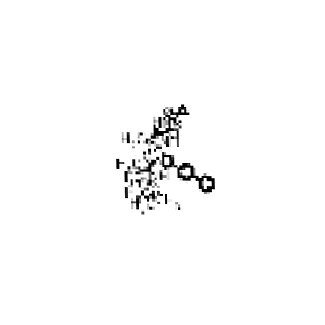 C=C[C@@H]1C[C@]1(NC(=O)[C@@H]1C[C@@H](c2ccc(-c3ccccc3)cc2)CN1C(=O)[C@@H](NC(=O)OC(C)(C)C)C(C)C)C(=O)NS(=O)(=O)C1CC1